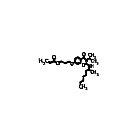 C=CC(=O)OCCCOc1ccc(C(=O)N(C(=O)NC(C)CCCCCC)C(C)C)cc1